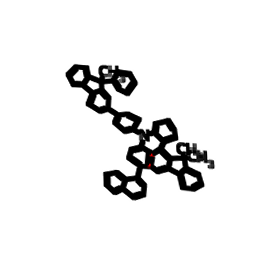 CC1(C)c2ccccc2-c2cccc(-c3ccccc3N(c3ccc(-c4ccc5c(c4)C(C)(c4ccccc4)c4ccccc4-5)cc3)c3ccc(-c4cccc5ccccc45)cc3)c21